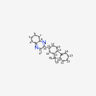 Cc1nc2ccccc2nc1-c1ccc2c(c1)C(C)(C)c1ccccc1-2